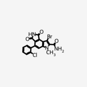 Cn1c(C(N)=O)c(Br)c2c3c(c(-c4ccccc4Cl)cc21)C(=O)NC3=O